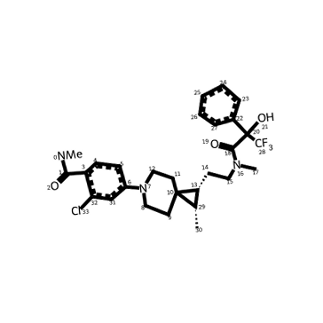 CNC(=O)c1ccc(N2CCC3(CC2)[C@H](CCN(C)C(=O)C(O)(c2ccccc2)C(F)(F)F)[C@@H]3C)cc1Cl